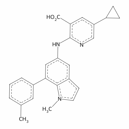 Cc1cccc(-c2cc(Nc3ncc(C4CC4)cc3C(=O)O)cc3ccn(C)c23)c1